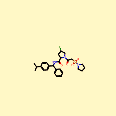 CC(C)c1ccc(C(NC(=O)C2CC(F)CN2C(=O)CS(=O)(=O)N2CCCC2)c2ccccc2)cc1